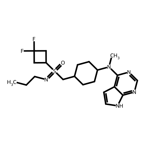 CCCN=S(=O)(CC1CCC(N(C)c2ncnc3[nH]ccc23)CC1)C1CC(F)(F)C1